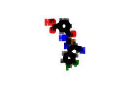 N#Cc1sc(NC(=O)C2CCCC(C(=O)O)C2)nc1-c1ccc(F)c(F)c1